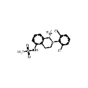 C[C@H]1c2cccc(NS(C)(=O)=O)c2CCN1c1c(Cl)cccc1Cl